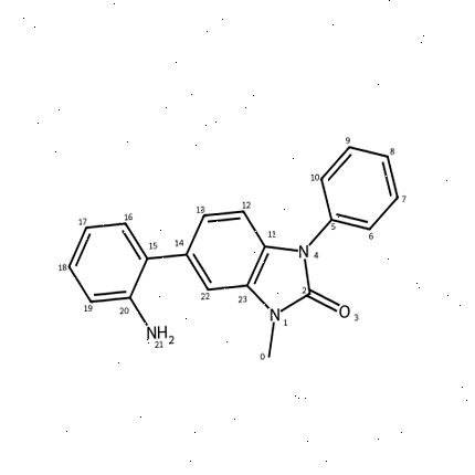 Cn1c(=O)n(-c2ccccc2)c2ccc(-c3ccccc3N)cc21